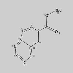 CC(C)(C)OC(=O)c1ccc2nc[c]cc2c1